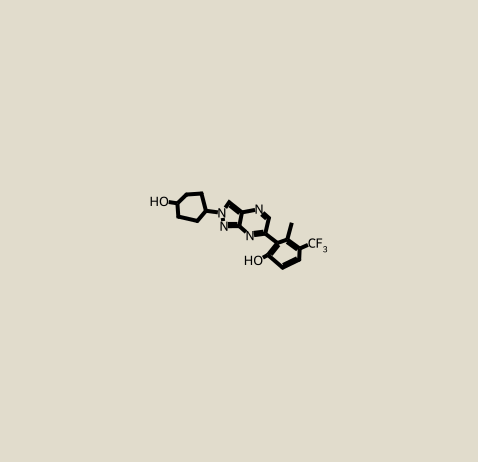 Cc1c(C(F)(F)F)ccc(O)c1-c1cnc2cn(C3CCC(O)CC3)nc2n1